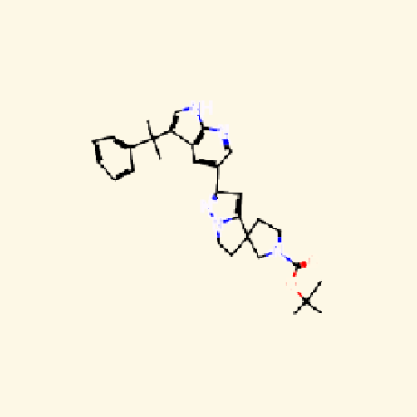 CC(C)(C)OC(=O)N1CCC2(CCn3nc(-c4cnc5[nH]cc(C(C)(C)c6ccccc6)c5c4)cc32)C1